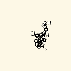 CS(=O)(=O)N[C@H]1CCCC[C@@H]1N1C(=O)c2ccccc2[C@@H](C(=O)NOCc2ccc(CC(=O)O)cc2)[C@@H]1c1ccc(Cl)cc1Cl